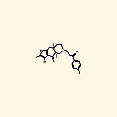 CCc1c(C)[nH]c2c1C(=S)[C@@H]1CN(CCC(=O)c3ccc(F)cc3)CC[C@H]1C2